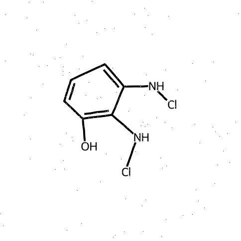 Oc1cccc(NCl)c1NCl